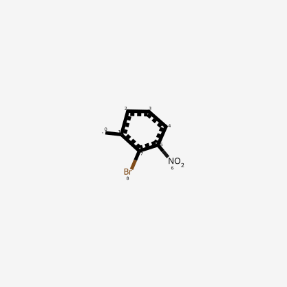 [CH2]c1cccc([N+](=O)[O-])c1Br